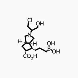 O=C(O)[C@@H]1C[C@H]2CN(C(CO)CCl)C[C@H]2[C@@H]1CCCB(O)O